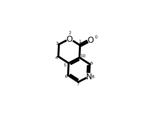 O=C1OCCc2ccncc21